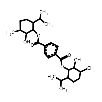 CC(C)C1CCC(C)C(O)C1OC(=O)c1ccc(C(=O)OC2C(O)C(C)CCC2C(C)C)cc1